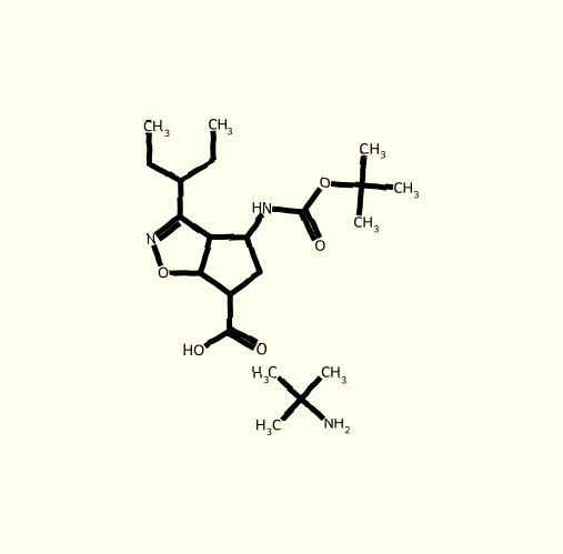 CC(C)(C)N.CCC(CC)C1=NOC2C(C(=O)O)CC(NC(=O)OC(C)(C)C)C12